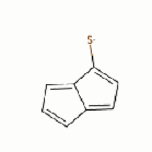 [S]C1=CC=C2C=CC=C12